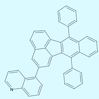 c1ccc(-c2c3c(c(-c4ccccc4)c4ccccc24)-c2cc(-c4cccc5ncccc45)cc4cccc-3c24)cc1